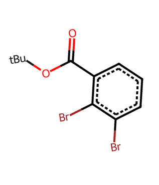 CC(C)(C)OC(=O)c1cccc(Br)c1Br